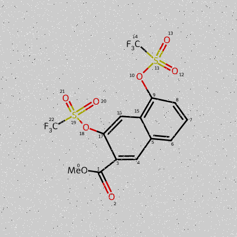 COC(=O)c1cc2cccc(OS(=O)(=O)C(F)(F)F)c2cc1OS(=O)(=O)C(F)(F)F